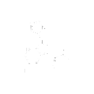 CC(C)C(=O)c1cn(-c2cscn2)c2ncc(F)cc12